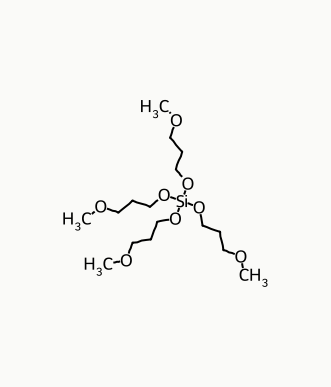 COCCCO[Si](OCCCOC)(OCCCOC)OCCCOC